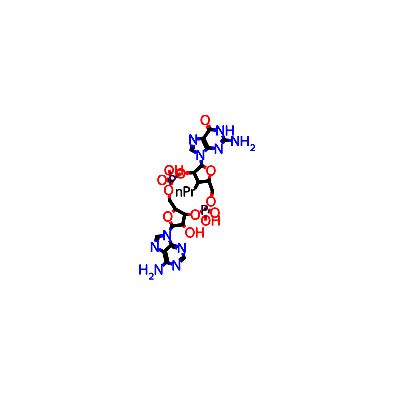 CCCC1C2COP(=O)(O)OC3C(COP(=O)(O)OC1C(n1cnc4c(=O)[nH]c(N)nc41)O2)OC(n1cnc2c(N)ncnc21)C3O